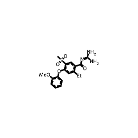 CCc1cc(Oc2ccccc2OC)c(S(C)(=O)=O)cc1C(=O)N=C(N)N